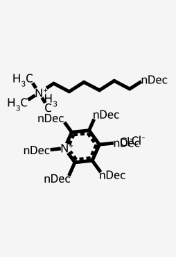 CCCCCCCCCCCCCCCC[N+](C)(C)C.CCCCCCCCCCc1c(CCCCCCCCCC)c(CCCCCCCCCC)[n+](CCCCCCCCCC)c(CCCCCCCCCC)c1CCCCCCCCCC.[Cl-].[Cl-]